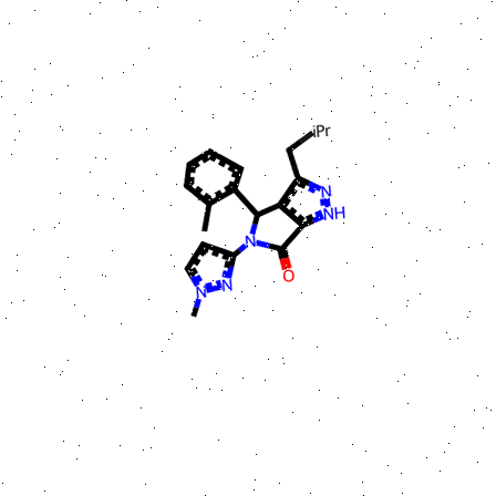 Cc1ccccc1C1c2c(CC(C)C)n[nH]c2C(=O)N1c1ccn(C)n1